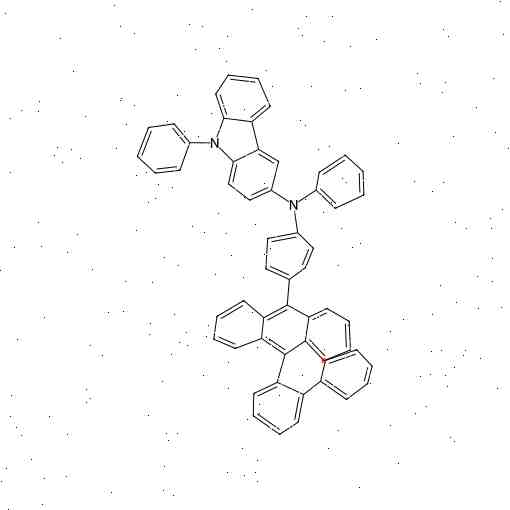 c1ccc(-c2ccccc2-c2c3ccccc3c(-c3ccc(N(c4ccccc4)c4ccc5c(c4)c4ccccc4n5-c4ccccc4)cc3)c3ccccc23)cc1